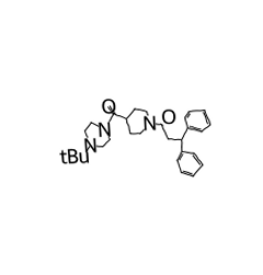 CC(C)(C)N1CCN(C(=O)C2CCN(C(=O)CC(c3ccccc3)c3ccccc3)CC2)CC1